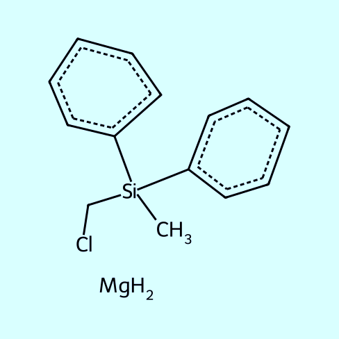 C[Si](CCl)(c1ccccc1)c1ccccc1.[MgH2]